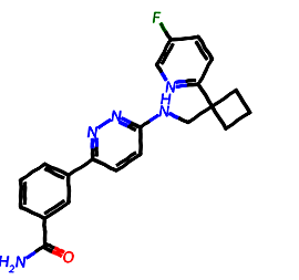 NC(=O)c1cccc(-c2ccc(NCC3(c4ccc(F)cn4)CCC3)nn2)c1